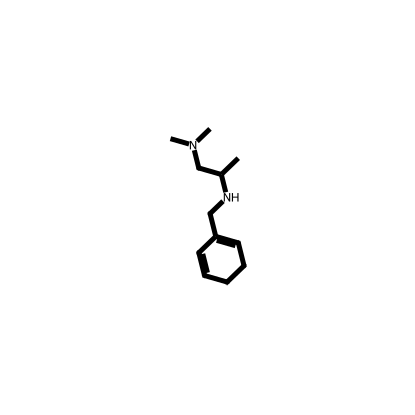 CC(CN(C)C)NCC1=CC[CH]C=C1